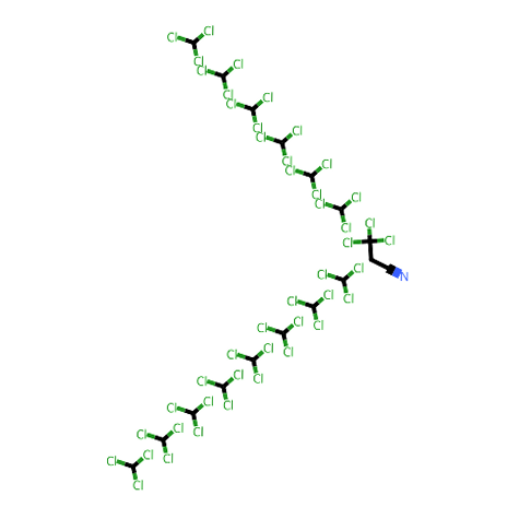 ClC(Cl)Cl.ClC(Cl)Cl.ClC(Cl)Cl.ClC(Cl)Cl.ClC(Cl)Cl.ClC(Cl)Cl.ClC(Cl)Cl.ClC(Cl)Cl.ClC(Cl)Cl.ClC(Cl)Cl.ClC(Cl)Cl.ClC(Cl)Cl.ClC(Cl)Cl.ClC(Cl)Cl.N#CCC(Cl)(Cl)Cl